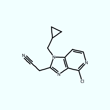 N#CCc1nc2c(Cl)nccc2n1CC1CC1